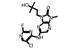 Cn1c(=O)n(CCC(C)(C)O)c2nc(Nc3nc(F)ncc3Cl)cnc21